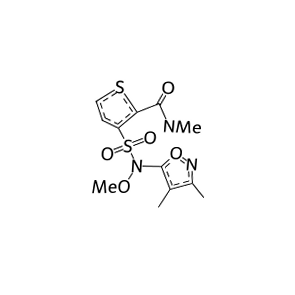 CNC(=O)c1sccc1S(=O)(=O)N(OC)c1onc(C)c1C